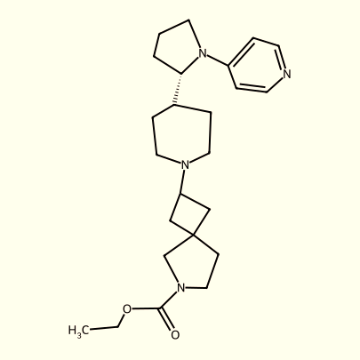 CCOC(=O)N1CCC2(CC(N3CCC([C@@H]4CCCN4c4ccncc4)CC3)C2)C1